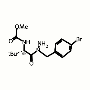 COC(=O)N[C@H](C(=O)N(N)Cc1ccc(Br)cc1)C(C)(C)C